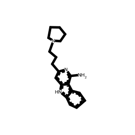 Nc1nc(CCCN2CCCCC2)cc2[nH]c3ccccc3c12